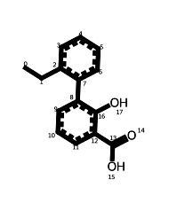 CCc1ccccc1-c1cccc(C(=O)O)c1O